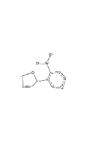 O=[N+]([O-])c1ccccc1C1C=CCO1